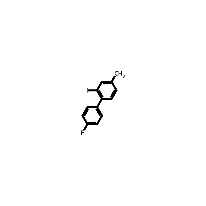 Cc1ccc(-c2ccc(F)cc2)c(I)c1